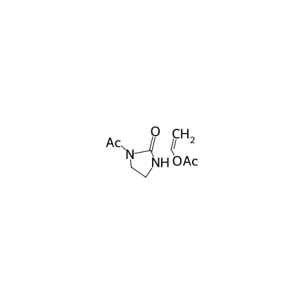 C=COC(C)=O.CC(=O)N1CCNC1=O